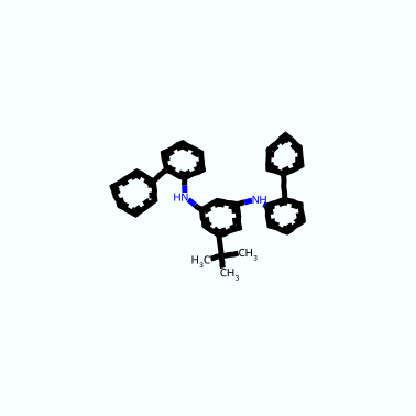 CC(C)(C)c1cc(Nc2ccccc2-c2ccccc2)cc(Nc2ccccc2-c2ccccc2)c1